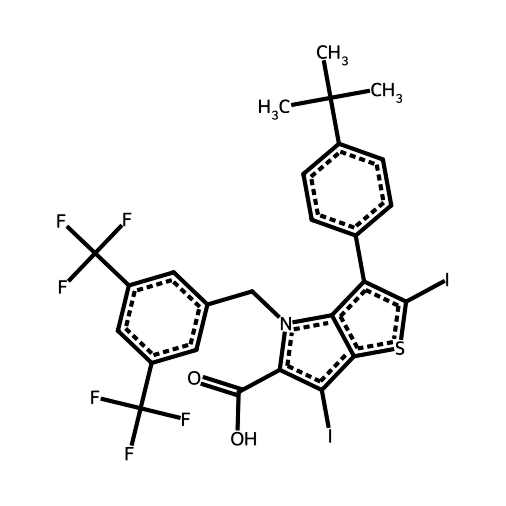 CC(C)(C)c1ccc(-c2c(I)sc3c(I)c(C(=O)O)n(Cc4cc(C(F)(F)F)cc(C(F)(F)F)c4)c23)cc1